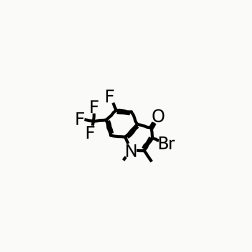 Cc1c(Br)c(=O)c2cc(F)c(C(F)(F)F)cc2n1C